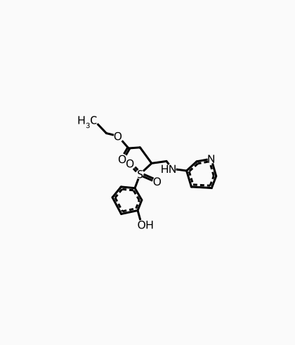 CCOC(=O)CC(CNc1cccnc1)S(=O)(=O)c1cccc(O)c1